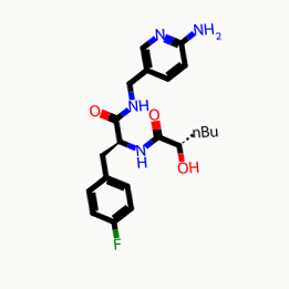 CCCC[C@H](O)C(=O)N[C@@H](Cc1ccc(F)cc1)C(=O)NCc1ccc(N)nc1